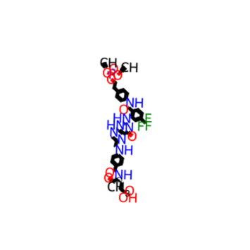 C#COP(=O)(OC#C)OCCc1ccc(NC(=O)c2ccc(C(F)(F)F)cc2Nc2nc(=O)c3nc(CNc4ccc(C(=O)N[C@@H](CCC(=O)O)C(C)=O)cc4)cnc3[nH]2)cc1